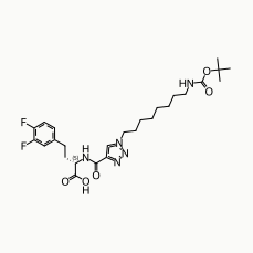 CC(C)(C)OC(=O)NCCCCCCCCn1cc(C(=O)N[C@@H](CCc2ccc(F)c(F)c2)C(=O)O)nn1